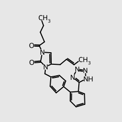 CC=CCc1cn(C(=O)CCCC)c(=O)n1Cc1ccc(-c2ccccc2-c2nnn[nH]2)cc1